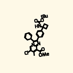 COC(=O)c1c(C)c(Cl)cn2c(C3C=CC=CC3)c(-c3ccc(C4(NC(=O)OC(C)(C)C)CCC4)cc3)nc12